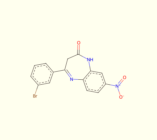 O=C1CC(c2cccc(Br)c2)=Nc2ccc([N+](=O)[O-])cc2N1